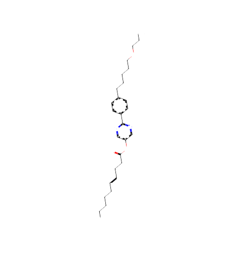 CCCCC/C=C/CCC(=O)Oc1cnc(-c2ccc(CCCCCOCCC)cc2)nc1